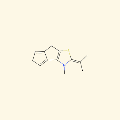 CC(C)=C1SC2=C(C3=CCC=C3C2)N1C